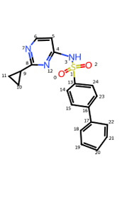 O=S(=O)(Nc1ccnc(C2CC2)n1)c1ccc(-c2ccccc2)cc1